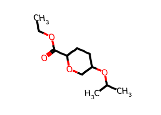 CCOC(=O)C1CCC(OC(C)C)CO1